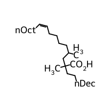 CCCCCCCC/C=C\CCCCC(C)CC(C)(CCCCCCCCCCCC)C(=O)O